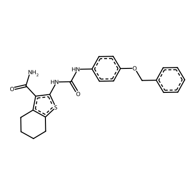 NC(=O)c1c(NC(=O)Nc2ccc(OCc3ccccc3)cc2)sc2c1CCCC2